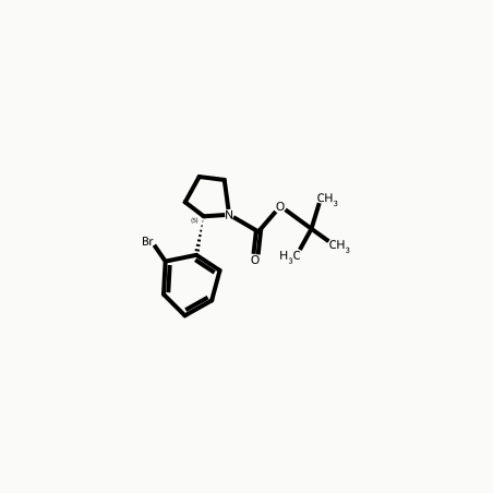 CC(C)(C)OC(=O)N1CCC[C@H]1c1ccccc1Br